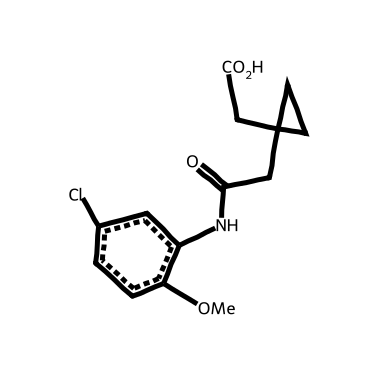 COc1ccc(Cl)cc1NC(=O)CC1(CC(=O)O)CC1